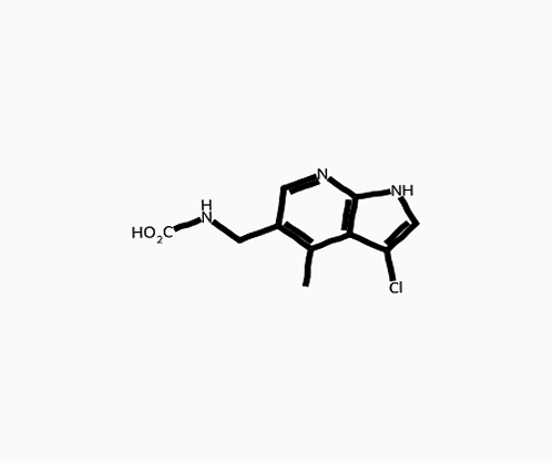 Cc1c(CNC(=O)O)cnc2[nH]cc(Cl)c12